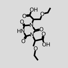 CCOCC(C(=O)O)n1c(=O)[nH]c(=O)n(C(COCC)C(=O)O)c1=O